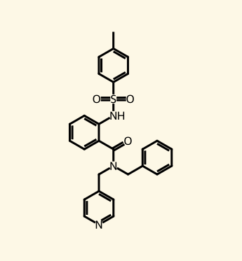 Cc1ccc(S(=O)(=O)Nc2ccccc2C(=O)N(Cc2ccccc2)Cc2ccncc2)cc1